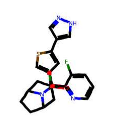 O=C(c1csc(-c2cn[nH]c2)c1)N1C2CCC1CC(F)(c1ncccc1F)C2